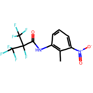 Cc1c(NC(=O)C(F)(C(F)(F)F)C(F)(F)F)cccc1[N+](=O)[O-]